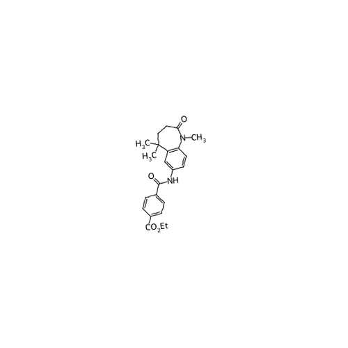 CCOC(=O)c1ccc(C(=O)Nc2ccc3c(c2)C(C)(C)CCC(=O)N3C)cc1